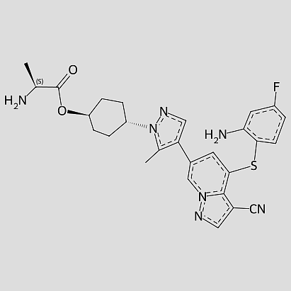 Cc1c(-c2cc(Sc3ccc(F)cc3N)c3c(C#N)cnn3c2)cnn1[C@H]1CC[C@H](OC(=O)[C@H](C)N)CC1